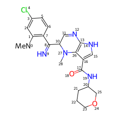 CNc1cc(Cl)ccc1C(=N)C1C=Nc2[nH]cc(C(=O)NC3CCCOC3)c2N1C